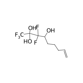 C=CCCCC(O)C(F)(F)C(O)(O)C(F)(F)F